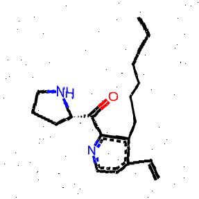 C=Cc1ccnc(C(=O)[C@@H]2CCCN2)c1CCCCCC